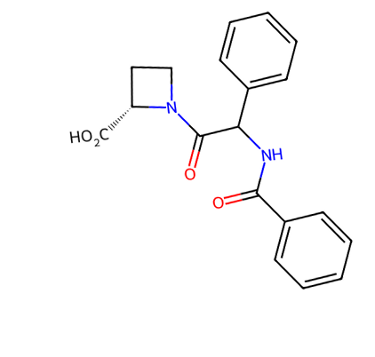 O=C(NC(C(=O)N1CC[C@H]1C(=O)O)c1ccccc1)c1ccccc1